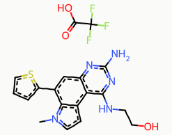 Cn1ccc2c3c(NCCO)nc(N)nc3cc(-c3cccs3)c21.O=C(O)C(F)(F)F